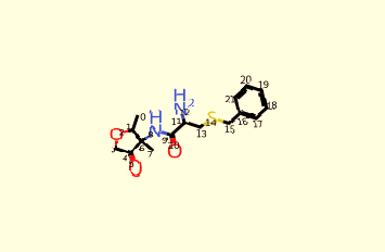 CC1OCC(=O)C1(C)NC(=O)C(N)CSCc1ccccc1